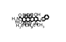 B=C1C(C(N)=O)=C(O)[C@@H](N(C)C)[C@@H]2C[C@@H]3Cc4c(c(O)cc(CN5Cc6ccccc6C5)c4N(C)C)C(=O)C3=C(O)[C@]12P